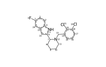 Fc1ccc2[nH]c(C3CCCCN3Cc3cccc(Cl)c3Cl)cc2c1